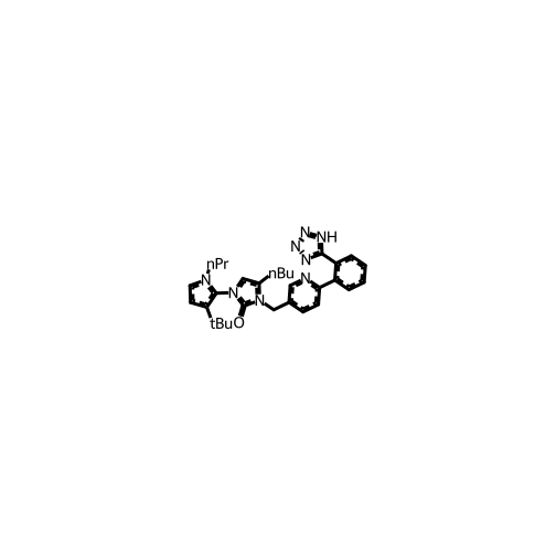 CCCCc1cn(-c2c(C(C)(C)C)ccn2CCC)c(=O)n1Cc1ccc(-c2ccccc2-c2nnn[nH]2)nc1